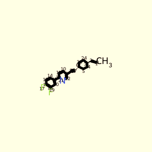 CC=C[C@H]1CC[C@H](C#Cc2ccc(-c3ccc(F)c(F)c3)nc2)CC1